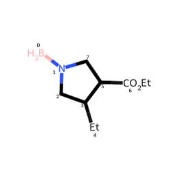 BN1CC(CC)C(C(=O)OCC)C1